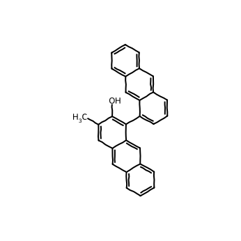 Cc1cc2cc3ccccc3cc2c(-c2cccc3cc4ccccc4cc23)c1O